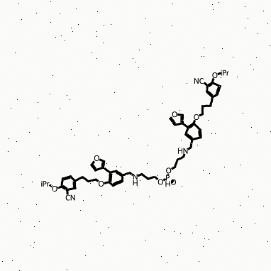 CC(C)Oc1ccc(CCCOc2ccc(CNCCCO[PH](=O)OCCCNCc3ccc(OCCCc4ccc(OC(C)C)c(C#N)c4)c(-c4ccoc4)c3)cc2-c2ccoc2)cc1C#N